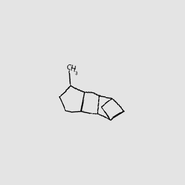 CC1CCC2C1C1C3CC(C3)C21